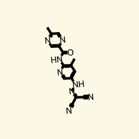 Cc1cnc(C(=O)Nc2ncc(NN=C(C#N)C#N)cc2C)cn1